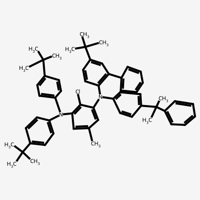 Cc1cc(N(c2ccc(C(C)(C)C)cc2)c2ccc(C(C)(C)C)cc2)c(Cl)c(N(c2ccc(C(C)(C)c3ccccc3)cc2)c2ccc(C(C)(C)C)cc2-c2ccccc2)c1